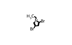 CCn1cc(Br)cc1Br